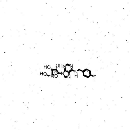 OC[C@H]1OC(n2cnc3c(NCc4ccc(F)cc4)ncnc32)[C@@H](O)[C@@H]1O